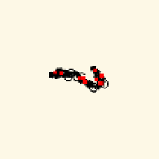 CC(COC(=O)C1(C)CCC2c3ccc(C(C)C)cc3CCC2C1)COc1ccc(C(C)(C)c2ccc(OCC(C)COC(=O)C3(C)CCC4c5ccc(C(C)C)cc5CCC4C3)cc2)cc1